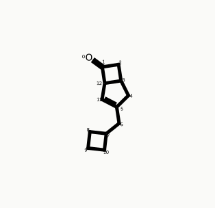 O=C1CC2CC(CC3CCC3)=CC12